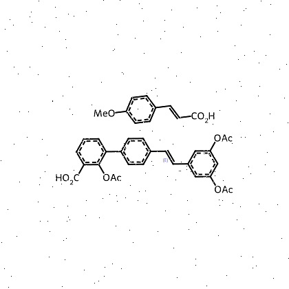 CC(=O)Oc1cc(/C=C/c2ccc(-c3cccc(C(=O)O)c3OC(C)=O)cc2)cc(OC(C)=O)c1.COc1ccc(C=CC(=O)O)cc1